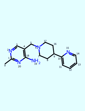 Cc1ncc(CN2CCC(c3ccccn3)CC2)c(N)n1